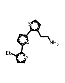 CCc1ccsc1-c1ccc(-c2sccc2CCN)s1